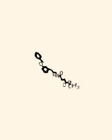 COC(=O)CCC(=O)NCCCc1cccc(OCc2ccccc2)c1